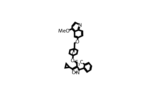 COc1ccnc2ccc(OCC34CCC(OCc5c(-c6ccccc6C(F)(F)F)noc5C5CC5)(CC3)CC4)cc12